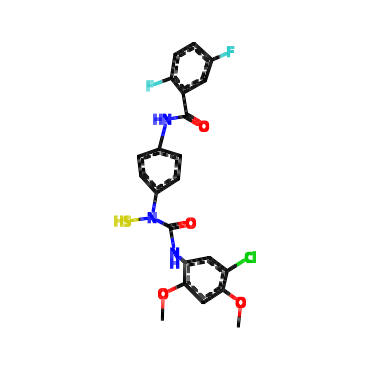 COc1cc(OC)c(NC(=O)N(S)c2ccc(NC(=O)c3cc(F)ccc3F)cc2)cc1Cl